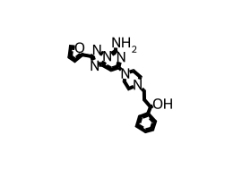 Nc1nc(N2CCN(CCC(O)c3ccccc3)CC2)cc2nc(-c3ccco3)nn12